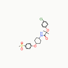 CC(C)(Oc1ccc(Cl)cc1)C(=O)NC1CCC(Oc2ccc(S(C)(=O)=O)cc2)CC1